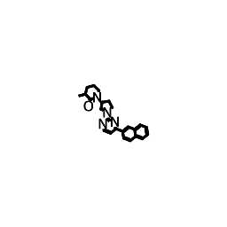 CC1CCCN(C2CCN(c3nccc(-c4ccc5ccccc5c4)n3)C2)C1=O